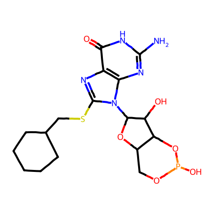 Nc1nc2c(nc(SCC3CCCCC3)n2C2OC3COP(O)OC3C2O)c(=O)[nH]1